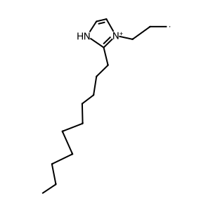 [CH2]CC[n+]1cc[nH]c1CCCCCCCCCC